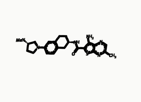 CN[C@H]1CCN(c2ccc3c(c2)CC[C@@H](NC(=O)c2sc4nc(C)cnc4c2N)C3)C1